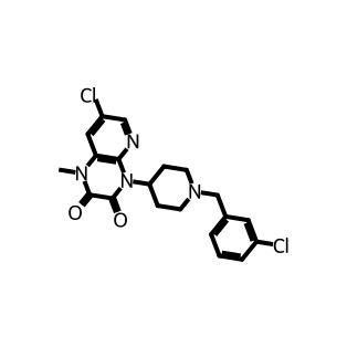 Cn1c(=O)c(=O)n(C2CCN(Cc3cccc(Cl)c3)CC2)c2ncc(Cl)cc21